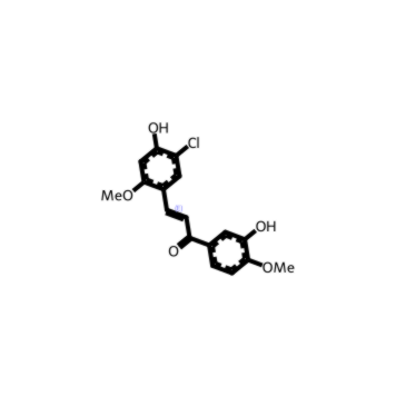 COc1ccc(C(=O)/C=C/c2cc(Cl)c(O)cc2OC)cc1O